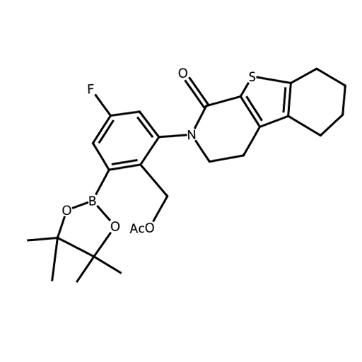 CC(=O)OCc1c(B2OC(C)(C)C(C)(C)O2)cc(F)cc1N1CCc2c(sc3c2CCCC3)C1=O